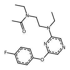 CCN(CCN(CC)c1cncc(Oc2ccc(F)cc2)n1)C(C)=O